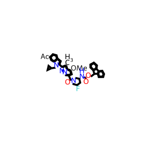 COc1cc(C(=O)N2C[C@H](F)C[C@@H](NC(=O)OCC3c4ccccc4-c4ccccc43)C2)cn2nc(-c3cc4ccc(C(C)=O)cc4n3CC3CC3)c(C)c12